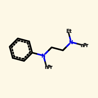 CCCN(CC)CCN(CCC)c1ccccc1